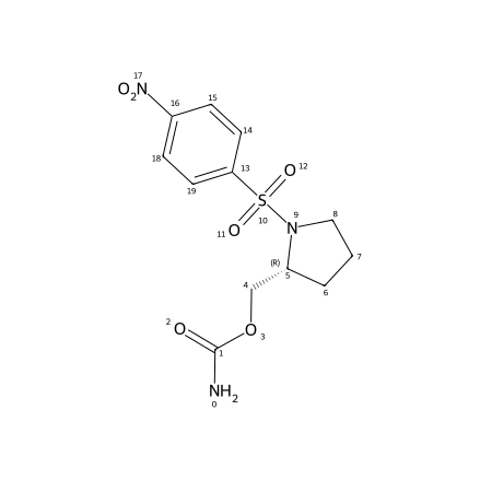 NC(=O)OC[C@H]1CCCN1S(=O)(=O)c1ccc([N+](=O)[O-])cc1